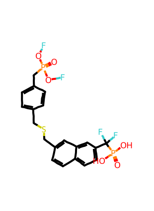 O=P(Cc1ccc(CSCc2ccc3ccc(C(F)(F)P(=O)(O)O)cc3c2)cc1)(OF)OF